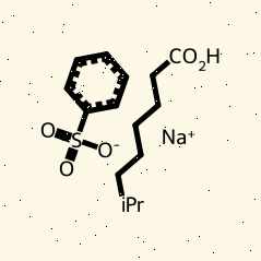 CC(C)CCCCCC(=O)O.O=S(=O)([O-])c1ccccc1.[Na+]